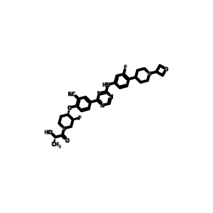 C[C@H](O)C(=O)N1CC[C@H](Oc2ccc(-c3ncnc(Nc4ccc(C5CCN(C6COC6)CC5)c(F)c4)n3)cc2C#N)[C@@H](F)C1